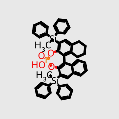 C[Si](c1ccccc1)(c1ccccc1)c1cc2c(c3c1OP(=O)(O)Oc1c([Si](C)(c4ccccc4)c4ccccc4)cc4ccccc4c1-3)CCCC2